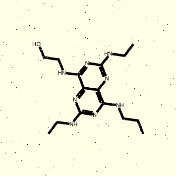 CCCNc1nc(NCC)nc2c(NCCO)nc(NCC)nc12